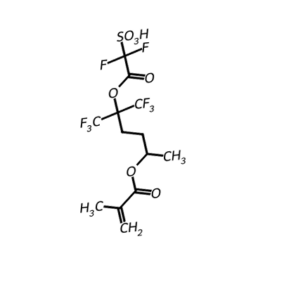 C=C(C)C(=O)OC(C)CCC(OC(=O)C(F)(F)S(=O)(=O)O)(C(F)(F)F)C(F)(F)F